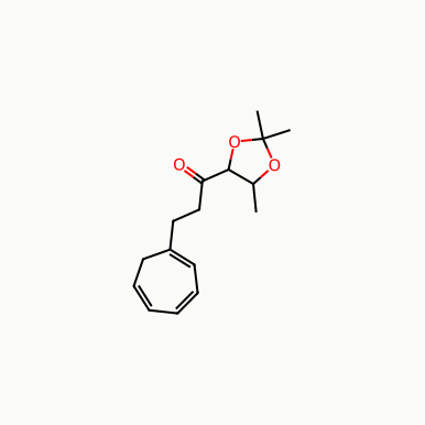 CC1OC(C)(C)OC1C(=O)CCC1=CC=CC=CC1